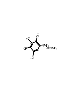 [SiH3]O[SiH2]c1cc(Cl)c(Cl)c(Cl)c1Cl